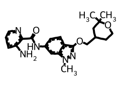 Cn1nc(OCC2CCOC(C)(C)C2)c2ccc(NC(=O)c3ncccc3N)cc21